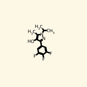 Cc1c(O)c(-c2cc(F)c(F)c(F)c2)nn1C(C)C